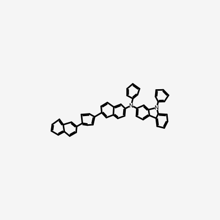 c1ccc(N(c2ccc3cc(-c4ccc(-c5ccc6ccccc6c5)cc4)ccc3c2)c2ccc3c4ccccc4n(-c4ccccc4)c3c2)cc1